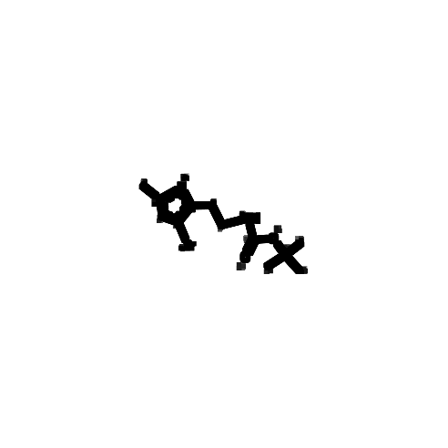 Cn1cc(Br)c(CCNC(=O)OC(C)(C)C)n1